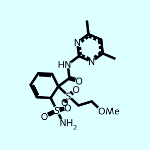 COCCS(=O)(=O)C1(C(=O)Nc2nc(C)cc(C)n2)C=CC=CC1S(N)(=O)=O